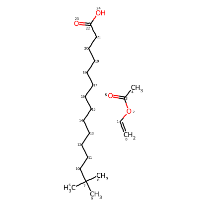 C=COC(C)=O.CC(C)(C)CCCCCCCCCCCCC(=O)O